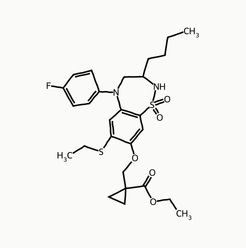 CCCCC1CN(c2ccc(F)cc2)c2cc(SCC)c(OCC3(C(=O)OCC)CC3)cc2S(=O)(=O)N1